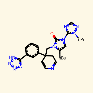 CCCCc1cn(-c2ncnn2CCC)c(=O)n1CC1(c2cccc(-c3nnn[nH]3)c2)C=CN=CC1